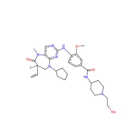 C=CC1(F)CN(C2CCCC2)c2nc(Nc3ccc(C(=O)NC4CCN(CCO)CC4)cc3OC)ncc2N(C)C1=O